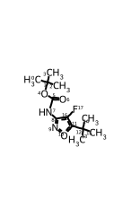 CC(C)(C)OC(=O)Nc1noc(C(C)(C)C)c1F